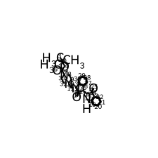 CC(C)(C)OC(=O)N1CCN(CN2C(=O)C(C3Nc4ccccc4C3=O)c3ccccc32)CC1